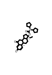 CC[C@]1(OC(=O)N(C2CCCC2)C2CCCC2)CCC2C3CC(=O)C4=CC(=O)C=C[C@]4(C)C3CC[C@@]21C